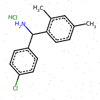 Cc1ccc(C(N)c2ccc(Cl)cc2)c(C)c1.Cl